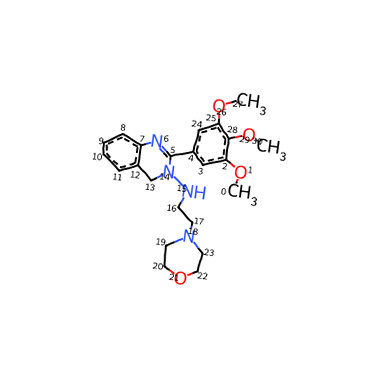 COc1cc(C2=Nc3ccccc3CN2NCCN2CCOCC2)cc(OC)c1OC